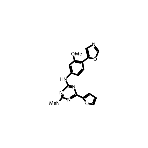 CNc1nc(Nc2ccc(-c3cnco3)c(OC)c2)nc(-c2ccco2)n1